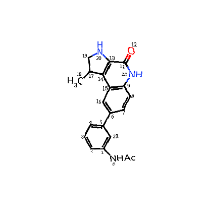 CC(=O)Nc1cccc(-c2ccc3[nH]c(=O)c4c(c3c2)C(C)CN4)c1